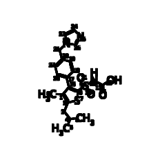 Cc1c(CC(C)C)sc(S(=O)(=O)NC(=O)O)c1-c1ccc(Cn2ccnc2)cc1